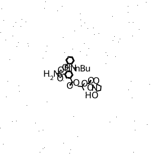 CCCCNc1cc(C(=O)OCC(C)OC(=O)ON2C(=O)CCC2O)cc(S(N)(=O)=O)c1Oc1ccccc1